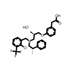 C[C@@H](COc1cccc(CC(=O)O)c1)CN(Cc1cccc(C(F)(F)F)c1Cl)C[C@@H](C)c1ccccc1.Cl